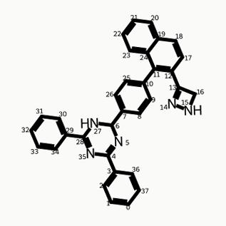 c1ccc(C2=NC(c3ccc(-c4c(C5=NNC5)ccc5ccccc45)cc3)NC(c3ccccc3)=N2)cc1